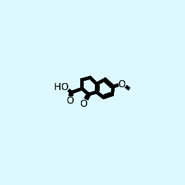 COc1ccc2c(c1)CCC(C(=O)O)C2=O